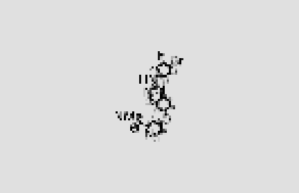 CNC(=O)c1cc(Oc2ccc3nc(Nc4ccc(Br)c(F)c4)ncc3c2)ccn1